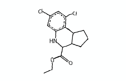 CCOC(=O)C1Nc2cc(Cl)cc(Cl)c2C2CCCC12